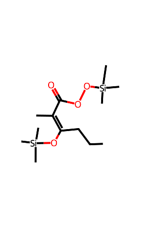 CCCC(O[Si](C)(C)C)=C(C)C(=O)OO[Si](C)(C)C